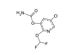 NC(=O)Oc1cc(Cl)cnc1OC(F)F